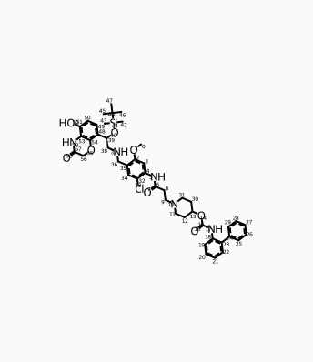 COc1cc(NC(=O)CCN2CCC(OC(=O)Nc3ccccc3-c3ccccc3)CC2)c(Cl)cc1CNC[C@H](O[Si](C)(C)C(C)(C)C)c1ccc(O)c2c1OCC(=O)N2